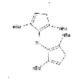 CCCCC1=CCC(CCCC)=[C]1[Zr][C]1=C(CCCC)CC=C1CCCC